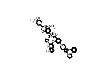 CC(C)c1ccccc1[C@@H]1CCCN1C1CC2(CCN(c3ccc(C(=O)NS(=O)(=O)c4cc5c(c([N+](=O)[O-])c4)N[C@@H]([C@H]4CC[C@](C)(O)CC4)CO5)c(Oc4cc5cc[nH]c5nc4N4CCC4)c3)CC2)C1